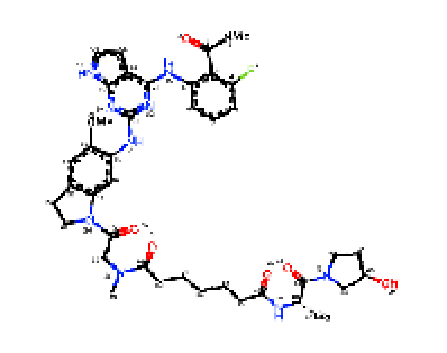 CNC(=O)c1c(F)cccc1Nc1nc(Nc2cc3c(cc2OC)CCN3C(=O)CN(C)C(=O)CCCCCC(=O)N[C@H](C(=O)N2CC[C@@H](O)C2)C(C)(C)C)nc2[nH]ccc12